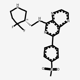 CS(=O)(=O)c1ccc(-c2cc3nccnc3c(NC[C@H]3CNCCC3(F)F)n2)cc1